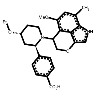 CCO[C@@H]1CCN(C2COc3c[nH]c4c(C)cc(OC)c2c34)[C@@H](c2ccc(C(=O)O)cc2)C1